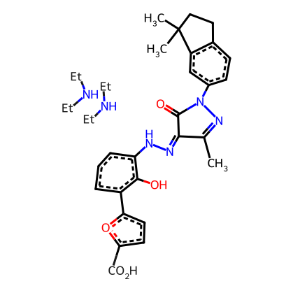 CC1=NN(c2ccc3c(c2)C(C)(C)CC3)C(=O)C1=NNc1cccc(-c2ccc(C(=O)O)o2)c1O.CCNCC.CCNCC